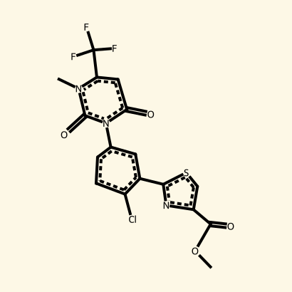 COC(=O)c1csc(-c2cc(-n3c(=O)cc(C(F)(F)F)n(C)c3=O)ccc2Cl)n1